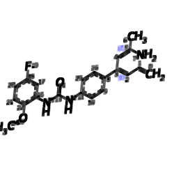 C=C/C=C(\C=C(\C)N)c1ccc(NC(=O)Nc2cc(F)ccc2OC)cc1